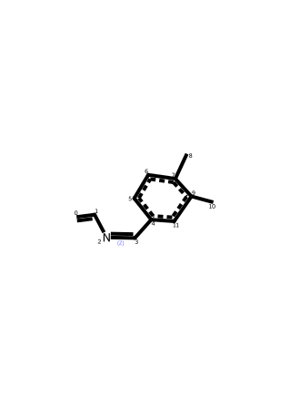 C=C/N=C\c1ccc(C)c(C)c1